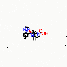 Cc1ccc(-n2nccn2)c(C(=O)N2C[C@@H]3CCN(C(=O)O)CC32C(C)(C)C)c1